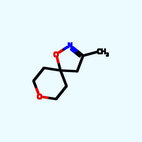 CC1=NOC2(CCOCC2)C1